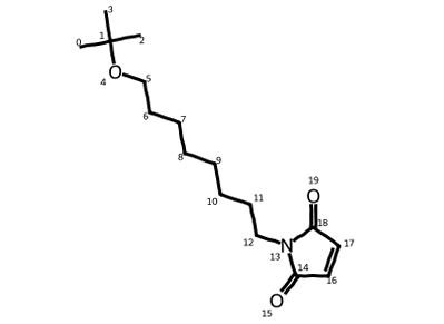 CC(C)(C)OCCCCCCCCN1C(=O)C=CC1=O